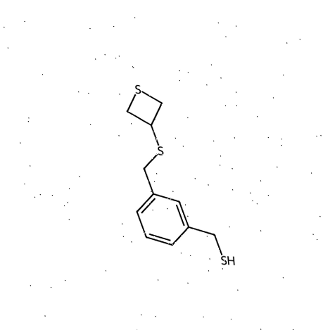 SCc1cccc(CSC2CSC2)c1